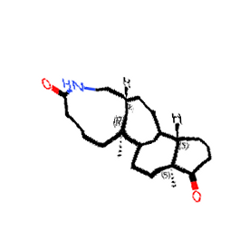 C[C@]12CCC3C(CC[C@H]4CNC(=O)CCC[C@]34C)[C@@H]1CCC2=O